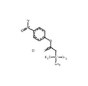 C[N+](C)(C)CC(=O)Oc1ccc([N+](=O)[O-])cc1.[Cl-]